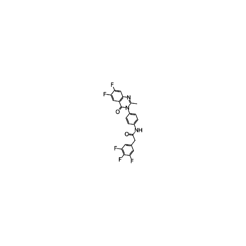 Cc1nc2cc(F)c(F)cc2c(=O)n1-c1ccc(NC(=O)Cc2cc(F)c(F)c(F)c2)cc1